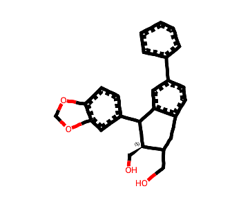 OCC1Cc2ccc(-c3ccccc3)cc2C(c2ccc3c(c2)OCO3)[C@@H]1CO